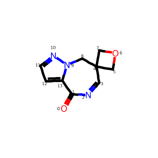 O=C1N=CC2(COC2)Cn2nccc21